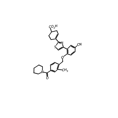 Cc1cc(C(=O)N2CCCCC2)ccc1COc1ccc(C#N)cc1-c1csc(C2=CCC(C(=O)O)CC2)n1